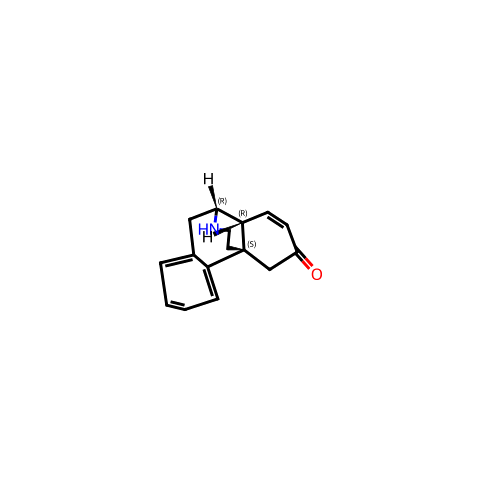 O=C1C=C[C@H]2[C@H]3Cc4ccccc4[C@@]2(CCN3)C1